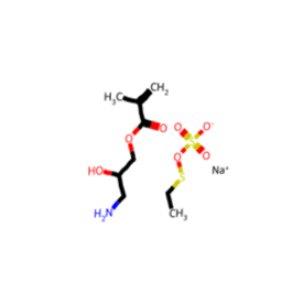 C=C(C)C(=O)OCC(O)CN.CCSOS(=O)(=O)[O-].[Na+]